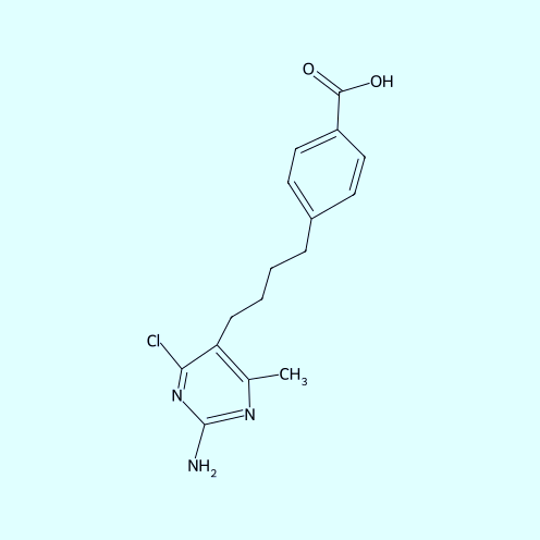 Cc1nc(N)nc(Cl)c1CCCCc1ccc(C(=O)O)cc1